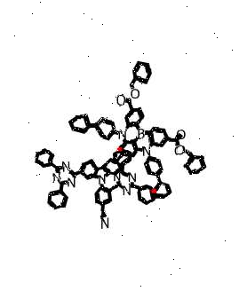 N#Cc1ccc(-n2c3ccc(-c4cc5c6c(c4)N(c4ccc(-c7ccccc7)cc4)c4cc(C(=O)OCc7ccccc7)ccc4B6c4ccc(C(=O)OCc6ccccc6)cc4N5c4ccc(-c5ccccc5)cc4)cc3c3ccc(-c4nc(-c5ccccc5)nc(-c5ccccc5)n4)cc32)c(-c2nc(-c3ccccc3)nc(-c3ccccc3)n2)c1